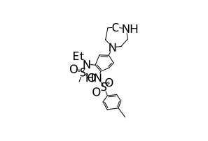 CCN(c1cc(N2CCCNCC2)ccc1NS(=O)(=O)c1ccc(C)cc1)S(C)(=O)=O